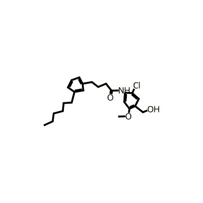 CCCCCCc1cccc(CCCC(=O)Nc2cc(OC)c(CO)cc2Cl)c1